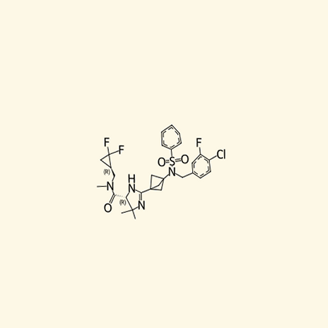 CN(C[C@H]1CC1(F)F)C(=O)[C@@H]1NC(C23CC(N(Cc4ccc(Cl)c(F)c4)S(=O)(=O)c4ccccc4)(C2)C3)=NC1(C)C